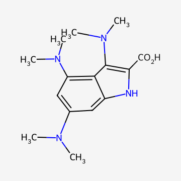 CN(C)c1cc(N(C)C)c2c(N(C)C)c(C(=O)O)[nH]c2c1